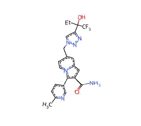 CCC(O)(c1cn(Cc2ccn3c(-c4ccc(C)nc4)c(C(N)=O)cc3c2)nn1)C(F)(F)F